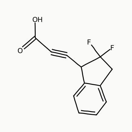 O=C(O)C#CC1c2ccccc2CC1(F)F